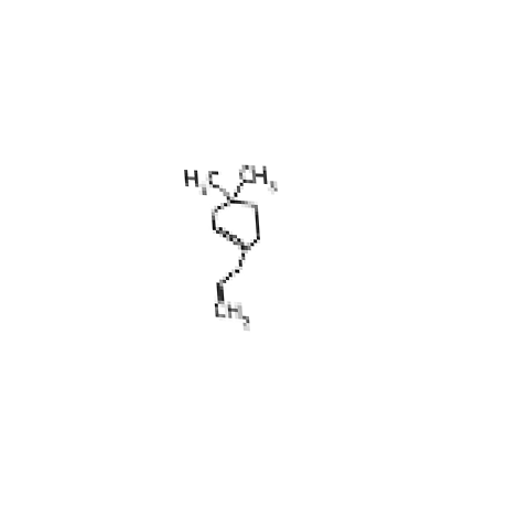 C=CCC1=CCC(C)(C)CC1